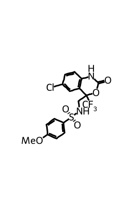 COc1ccc(S(=O)(=O)NCC2(C(F)(F)F)OC(=O)Nc3ccc(Cl)cc32)cc1